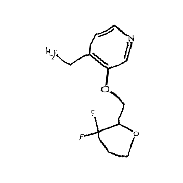 NCc1ccncc1OCC1OCCC1(F)F